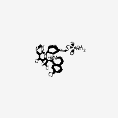 NS(=O)(=O)OC[C@@H]1CC[C@H](Nc2ncncc2C(=O)c2cc(C3NCCc4ccc(Cl)cc43)c(Cl)s2)C1